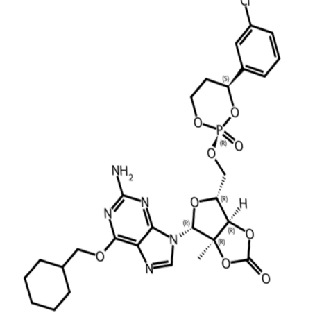 C[C@@]12OC(=O)O[C@@H]1[C@@H](CO[P@@]1(=O)OCC[C@@H](c3cccc(Cl)c3)O1)O[C@H]2n1cnc2c(OCC3CCCCC3)nc(N)nc21